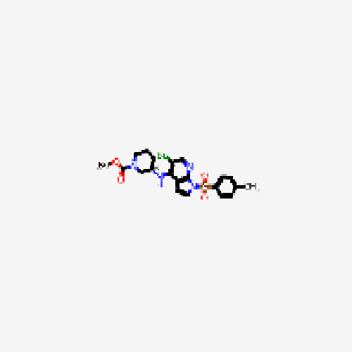 Cc1ccc(S(=O)(=O)n2ccc3c(N[C@@H]4CCCN(C(=O)OC(C)(C)C)C4)c(Br)cnc32)cc1